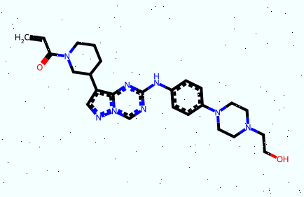 C=CC(=O)N1CCCC(c2cnn3cnc(Nc4ccc(N5CCN(CCO)CC5)cc4)nc23)C1